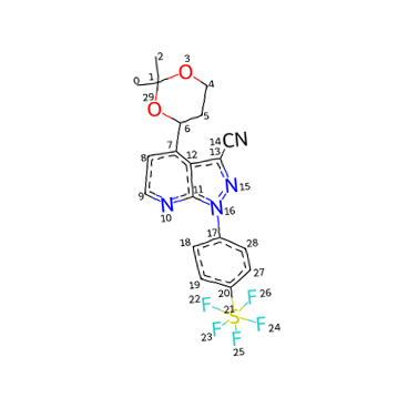 CC1(C)OCCC(c2ccnc3c2c(C#N)nn3-c2ccc(S(F)(F)(F)(F)F)cc2)O1